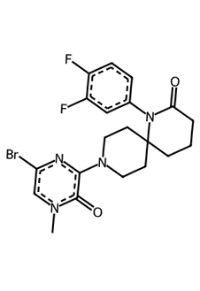 Cn1cc(Br)nc(N2CCC3(CCCC(=O)N3c3ccc(F)c(F)c3)CC2)c1=O